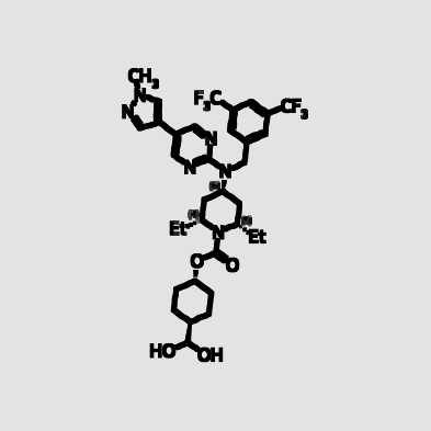 CC[C@@H]1C[C@H](N(Cc2cc(C(F)(F)F)cc(C(F)(F)F)c2)c2ncc(-c3cnn(C)c3)cn2)C[C@H](CC)N1C(=O)O[C@H]1CC[C@H](C(O)O)CC1